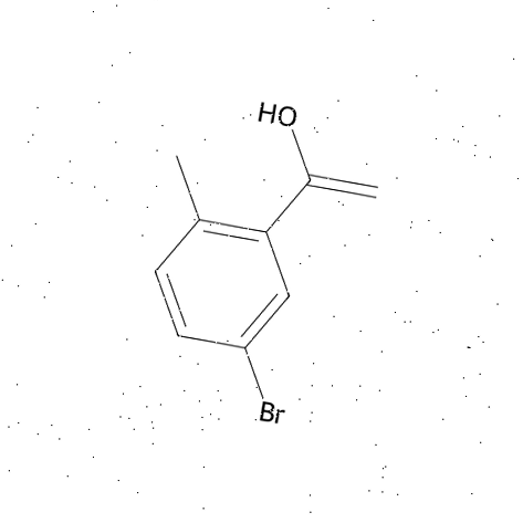 C=C(O)c1cc(Br)ccc1C